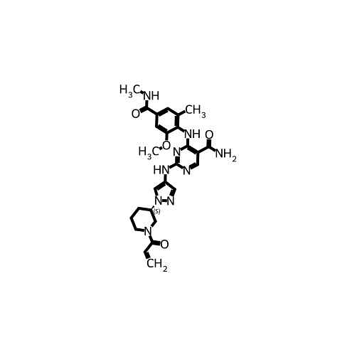 C=CC(=O)N1CCC[C@H](n2cc(Nc3ncc(C(N)=O)c(Nc4c(C)cc(C(=O)NC)cc4OC)n3)cn2)C1